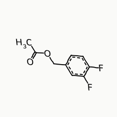 CC(=O)OCc1ccc(F)c(F)c1